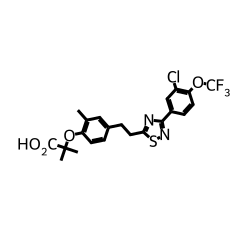 Cc1cc(CCc2nc(-c3ccc(OC(F)(F)F)c(Cl)c3)ns2)ccc1OC(C)(C)C(=O)O